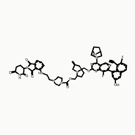 C#Cc1c(F)ccc2cc(O)cc(-c3ncc4c(N5CC6CCC(C5)N6)nc(OCC56CCC(COC(=O)N7CCN(CCNc8cccc9c8C(=O)N(C8CCC(=O)NC8=O)C9=O)CC7)N5CC(=C)C6)nc4c3F)c12